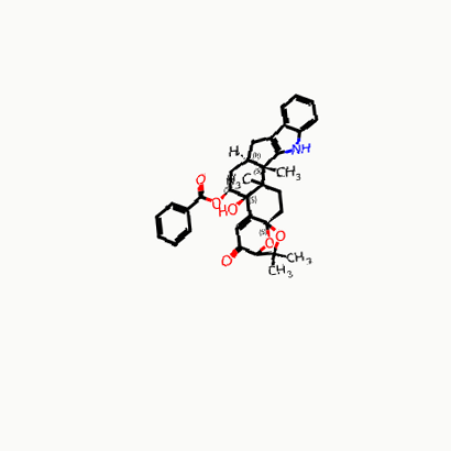 CC1(C)O[C@@]23CCC4(C)[C@@]5(C)c6[nH]c7ccccc7c6C[C@@H]5C[C@H](OC(=O)c5ccccc5)[C@@]4(O)C2=CC(=O)C1O3